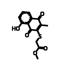 COC(=O)CSC1=C(C)C(=O)c2cccc(O)c2C1=O